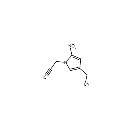 C#CCn1cc(CC#N)cc1[N+](=O)[O-]